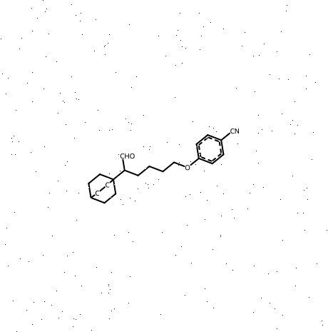 N#Cc1ccc(OCCCCC(C=O)C23CCC(CC2)CC3)cc1